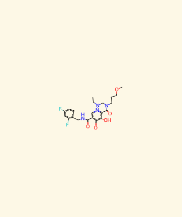 CCN1CN(CCCOC)C(=O)c2c(O)c(=O)c(C(=O)NCc3ccc(F)cc3F)cn21